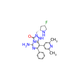 Cc1cc(-c2c(-c3ccccc3)nc(N)[n+]3c(=O)n(C[C@@H]4C[C@H](F)CN4)[nH]c23)cc(C)n1